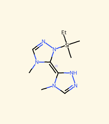 CC[Si](C)(C)N1N=CN(C)/C1=C1/NN=CN1C